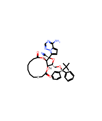 CC(C)(C)[Si](OC[C@H]1O[C@@](C#N)(c2ccc3c(N)ncnn23)[C@@H]2OC(=O)CCCCCCCCC(=O)O[C@@H]21)(c1ccccc1)c1ccccc1